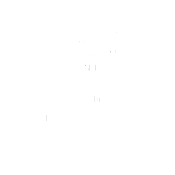 C=CCC(O)/C(Br)=C/C(NC(=O)OC(C)(C)C)C(C)C